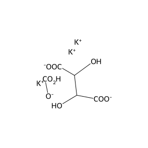 O=C([O-])C(O)C(O)C(=O)[O-].O=C([O-])O.[K+].[K+].[K+]